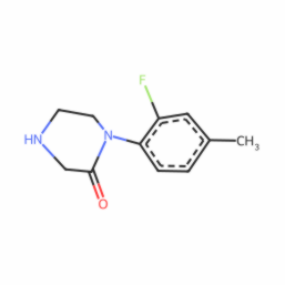 Cc1ccc(N2CCNCC2=O)c(F)c1